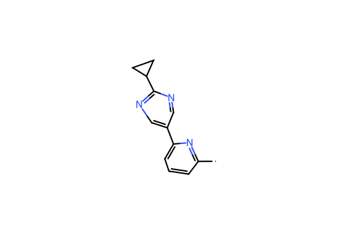 [CH2]c1cccc(-c2cnc(C3CC3)nc2)n1